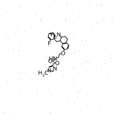 Cn1cnc(S(=O)(=O)NCCOc2ccc3c(c2)C(Cc2ccccc2F)C(N)CC3)c1